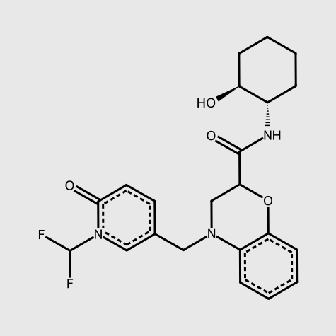 O=C(N[C@H]1CCCC[C@@H]1O)C1CN(Cc2ccc(=O)n(C(F)F)c2)c2ccccc2O1